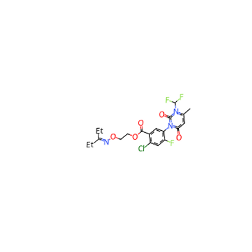 CCC(CC)=NOCCOC(=O)c1cc(-n2c(=O)cc(C)n(C(F)F)c2=O)c(F)cc1Cl